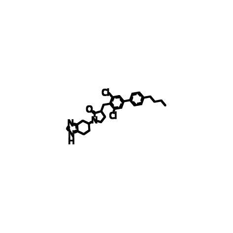 CCCCc1ccc(-c2cc(Cl)c(CC3CCN(C4CCc5[nH]cnc5C4)C3=O)c(Cl)c2)cc1